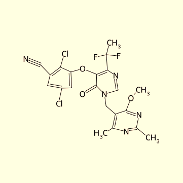 COc1nc(C)nc(C)c1Cn1cnc(C(C)(F)F)c(Oc2cc(Cl)cc(C#N)c2Cl)c1=O